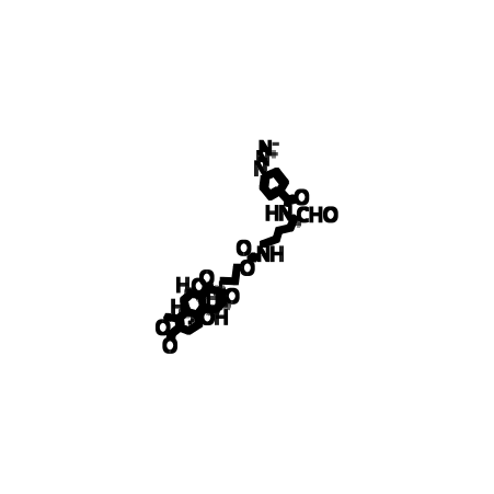 C[C@]12CCC3=C(COC3=O)[C@@H]1C[C@@H]1O[C@@]13C(=O)[C@@]1(CCCOC(=O)NCCCC[C@@H](C=O)NC(=O)c4ccc(N=[N+]=[N-])cc4)O[C@H]1[C@@H]1O[C@]123